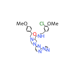 COc1ccc(CCN2CCN(c3ccnc(-n4ccnc4)n3)CC2C(=O)NCCc2ccc(OC)c(Cl)c2)cc1